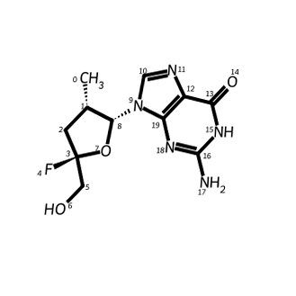 C[C@H]1C[C@@](F)(CO)O[C@H]1n1cnc2c(=O)[nH]c(N)nc21